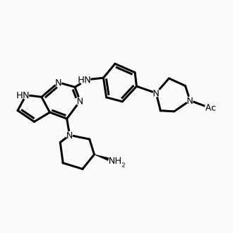 CC(=O)N1CCN(c2ccc(Nc3nc(N4CCC[C@H](N)C4)c4cc[nH]c4n3)cc2)CC1